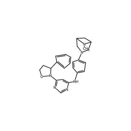 CN1C2CC1CN(c1ccc(Nc3cc(N4OCCC4c4ccccc4)ncn3)cc1)C2